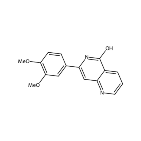 COc1ccc(-c2cc3ncccc3c(O)n2)cc1OC